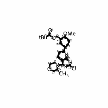 COc1ccc(-c2ccc3c(N4CCOC[C@@H]4C)nc(Cl)nc3n2)cc1COC(=O)C(C)(C)C